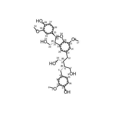 COc1cc(C[C@@H](CO)[C@H](CO)Cc2cc(OC)c3c(c2)[C@H](CO)[C@@H](c2ccc(O)c(OC)c2)O3)ccc1O